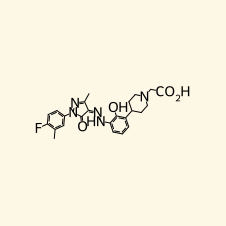 CC1=NN(c2ccc(F)c(C)c2)C(=O)C1=NNc1cccc(C2CCN(CC(=O)O)CC2)c1O